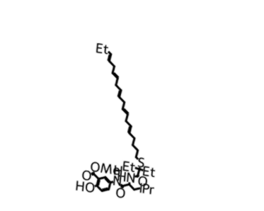 CCC=CCC=CCC=CCC=CCC=CCCCCSC(CC)(CC)C(=O)NC(CC(C)C)C(=O)Nc1ccc(O)c(C(=O)OC)c1